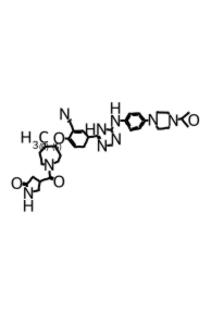 C[C@@H]1CCN(C(=O)C2CNC(=O)C2)CC[C@@H]1OC1=CCC(C2=NC=NC(Nc3ccc(N4CCN(C5COC5)CC4)cc3)N2)C=C1C#N